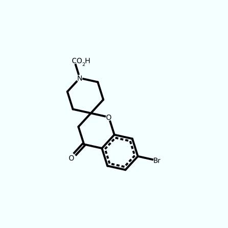 O=C1CC2(CCN(C(=O)O)CC2)Oc2cc(Br)ccc21